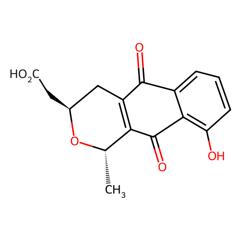 C[C@@H]1O[C@@H](CC(=O)O)CC2=C1C(=O)c1c(O)cccc1C2=O